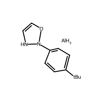 CC(C)(C)c1ccc(N2NC=CO2)cc1.[AlH3]